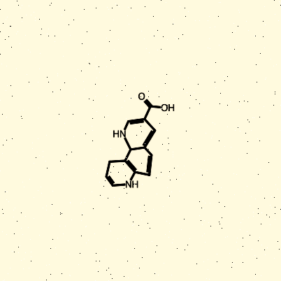 O=C(O)C1=CNC2C(=C1)C=CC1=C2CC=CN1